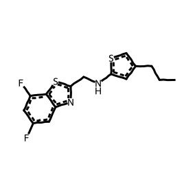 CCCc1csc(NCc2nc3cc(F)cc(F)c3s2)c1